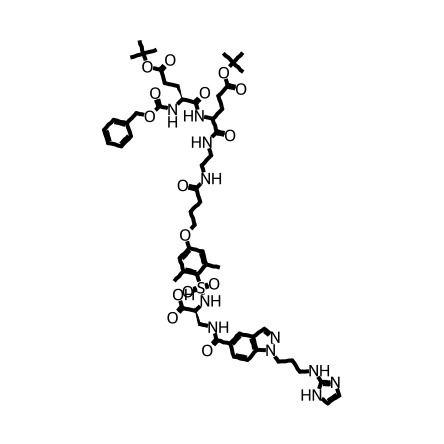 Cc1cc(OCCCC(=O)NCCNC(=O)C(CCC(=O)OC(C)(C)C)NC(=O)[C@H](CCC(=O)OC(C)(C)C)NC(=O)OCc2ccccc2)cc(C)c1S(=O)(=O)N[C@@H](CNC(=O)c1ccc2c(cnn2CCCNc2ncc[nH]2)c1)C(=O)O